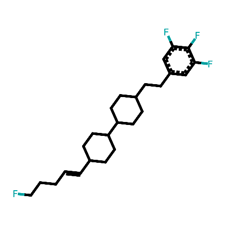 FCCCC=CC1CCC(C2CCC(CCc3cc(F)c(F)c(F)c3)CC2)CC1